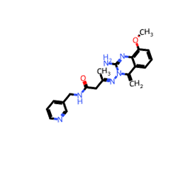 C=C1c2cccc(OC)c2N=C(N)N1/N=C(\C)CC(=O)NCc1cccnc1